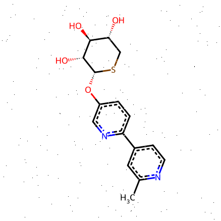 Cc1cc(-c2ccc(O[C@H]3SC[C@@H](O)[C@H](O)[C@H]3O)cn2)ccn1